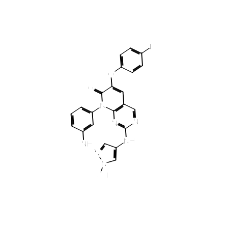 Cn1cc(Nc2ncc3cc(Oc4ccc(F)cc4)c(=O)n(-c4cccc(N)c4)c3n2)cn1